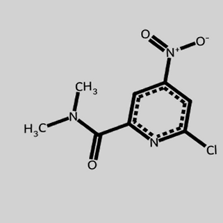 CN(C)C(=O)c1cc([N+](=O)[O-])cc(Cl)n1